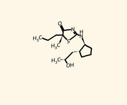 CCC[C@@]1(C)SC(N[C@H]2CCC[C@@H]2C[C@@H](C)O)=NC1=O